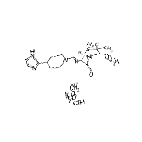 CC1(C)S[C@@H]2[C@H](N=CN3CCC(c4ncc[nH]4)CC3)C(=O)N2[C@H]1C(=O)O.Cl.O.O.O